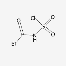 CCC(=O)NS(=O)(=O)Cl